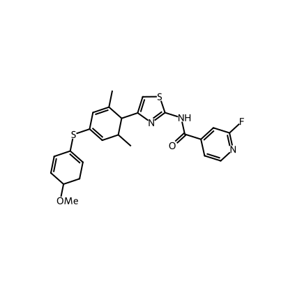 COC1C=CC(SC2=CC(C)C(c3csc(NC(=O)c4ccnc(F)c4)n3)C(C)=C2)=CC1